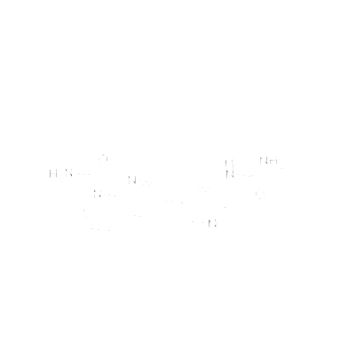 NC(=O)Nc1cncc(-c2cnc3c(c2)CCCN3C(N)=O)c1